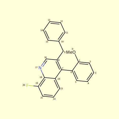 COc1ccccc1-c1c(Cc2ccccc2)cnc2c(F)cccc12